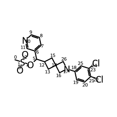 CS(=O)(=O)OC(c1cccnc1)C1CC2(C1)CN(c1ccc(Cl)c(Cl)c1)C2